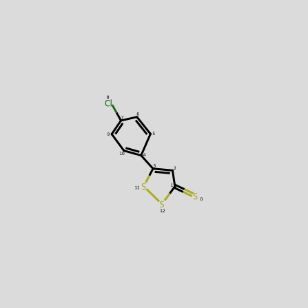 S=c1cc(-c2ccc(Cl)cc2)ss1